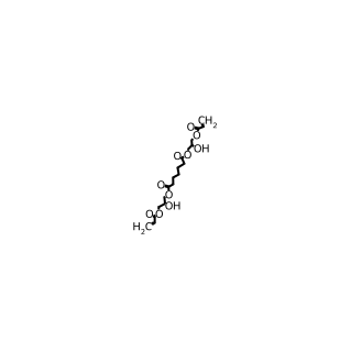 C=CC(=O)OCC(O)COC(=O)CCCCCC(=O)OCC(O)COC(=O)C=C